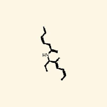 C=C(C/C=C\CC)NC(CC)/C(C)=C/C=C\C